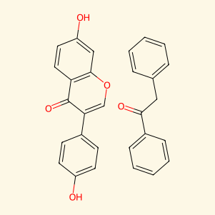 O=C(Cc1ccccc1)c1ccccc1.O=c1c(-c2ccc(O)cc2)coc2cc(O)ccc12